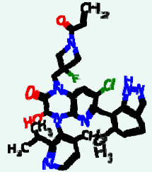 C=CC(=O)N1CC(F)(CN2C(=O)C(O)N(c3c(C)ccnc3C(C)C)c3nc(-c4c(C)ccc5cn[nH]c45)c(Cl)cc32)C1